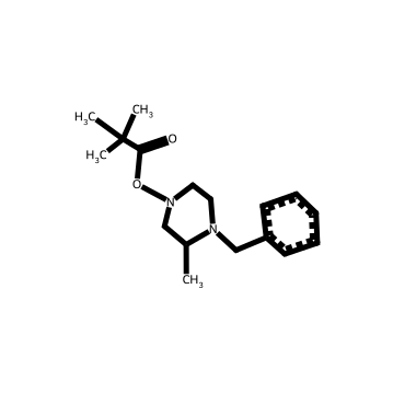 CC1CN(OC(=O)C(C)(C)C)CCN1Cc1ccccc1